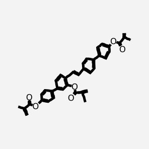 C=C(C)C(=O)Oc1ccc(-c2ccc(/C=C/c3ccc(-c4ccc(OC(=O)C(=C)C)cc4)cc3OC(=O)C(=C)C)cc2)cc1